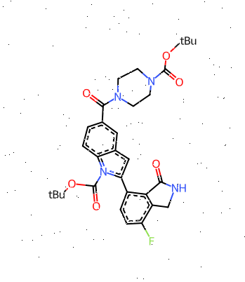 CC(C)(C)OC(=O)N1CCN(C(=O)c2ccc3c(c2)cc(-c2ccc(F)c4c2C(=O)NC4)n3C(=O)OC(C)(C)C)CC1